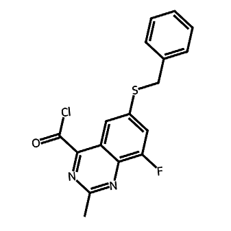 Cc1nc(C(=O)Cl)c2cc(SCc3ccccc3)cc(F)c2n1